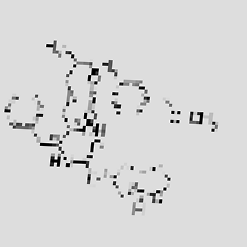 COCc1ccc(S(=O)(=O)N(CC(C)C)C[C@@H](O)[C@H](Cc2ccccc2)NC(=O)O[C@@H]2CC3CCO[C@@H]3C2)cc1